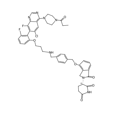 CCC(=O)N1CCN(c2ncnc3c(F)c(-c4c(F)cccc4OCCCNCc4ccc(COc5cccc6c5CN([C@H]5CCC(=O)NC5=O)C6=O)cc4)c(Cl)cc23)CC1